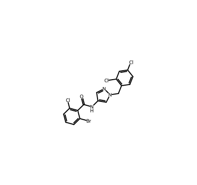 O=C(Nc1cnn(Cc2ccc(Cl)cc2Cl)c1)c1c(Cl)cccc1Br